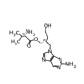 CC(C)[C@H](N)C(=O)OC[C@H](CCO)Cn1cnc2cnc(N)nc21